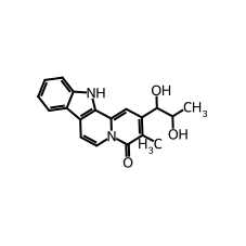 Cc1c(C(O)C(C)O)cc2c3[nH]c4ccccc4c3ccn2c1=O